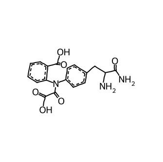 NC(=O)C(N)Cc1ccc(N(C(=O)C(=O)O)c2ccccc2C(=O)O)cc1